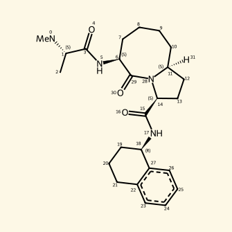 CN[C@@H](C)C(=O)N[C@H]1CCCC[C@H]2CC[C@@H](C(=O)N[C@@H]3CCCc4ccccc43)N2C1=O